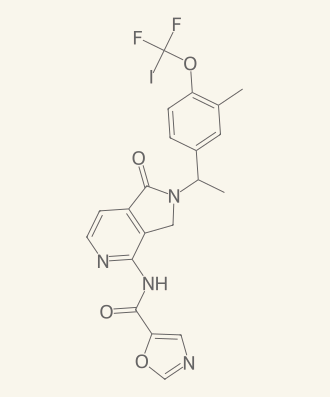 Cc1cc(C(C)N2Cc3c(ccnc3NC(=O)c3cnco3)C2=O)ccc1OC(F)(F)I